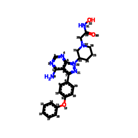 Nc1ncnc2c1c(-c1ccc(Oc3ccccc3)cc1)nn2C1CCCN(CC(=O)NO)C1